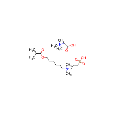 C=C(C)C(=O)OCCCCCC[N+](C)(C)CCCS(=O)(=O)O.C[N+](C)(C)CC(=O)O